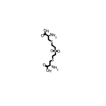 N[C@@H](CSCCS(=O)(=O)CCSC[C@H](N)C(=O)O)C(=O)O